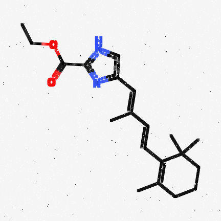 CCOC(=O)c1nc(/C=C(\C)C=CC2=C(C)CCCC2(C)C)c[nH]1